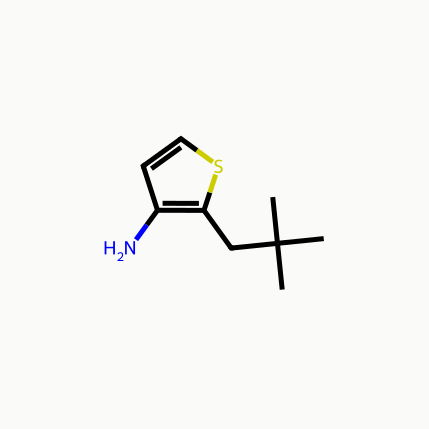 CC(C)(C)Cc1sccc1N